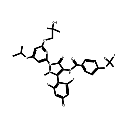 CC(C)Oc1cc(OCC(C)(C)O)nc(-n2c(=O)c(NC(=O)c3ccc(OC(F)(F)F)cc3)c(-c3c(F)cc(Cl)cc3F)n2C)c1